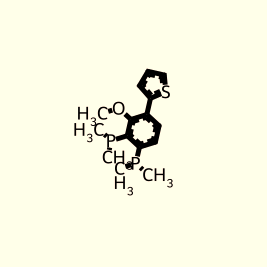 COc1c(-c2cccs2)ccc(P(C)C)c1P(C)C